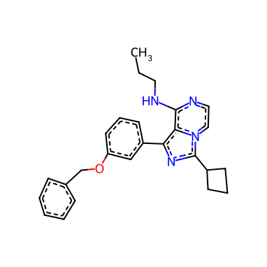 CCCNc1nccn2c(C3CCC3)nc(-c3cccc(OCc4ccccc4)c3)c12